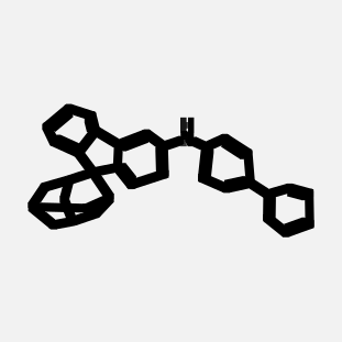 c1ccc(-c2ccc(Nc3ccc4c(c3)-c3ccccc3C43C4CC5CC(C4)CC3C5)cc2)cc1